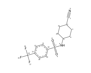 N#CC1CCC(NS(=O)(=O)c2ccc(C(F)(F)F)cc2)CC1